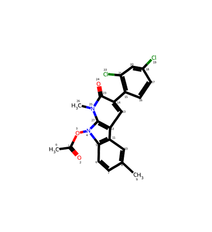 CC(=O)On1c2ccc(C)cc2c2cc(-c3ccc(Cl)cc3Cl)c(=O)n(C)c21